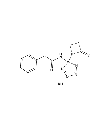 O=C(Cc1ccccc1)NC1(N2CCC2=O)N=NN=N1.[KH]